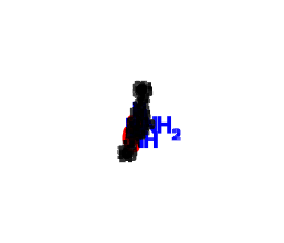 NCCCCC(NC(=O)OCc1ccccc1)C(=O)c1noc(CN2CCN(CCCCc3ccccc3)CC2)n1